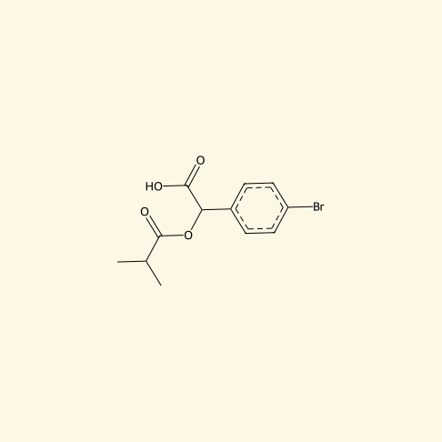 CC(C)C(=O)OC(C(=O)O)c1ccc(Br)cc1